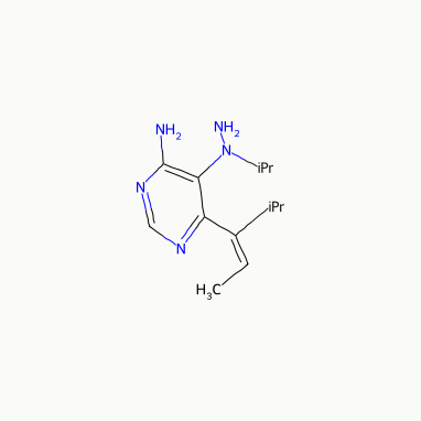 C/C=C(\c1ncnc(N)c1N(N)C(C)C)C(C)C